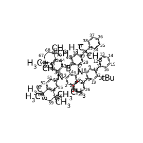 Cc1cc2c3c(c1)N(c1cc(-c4ccccc4)c(C(C)(C)C)cc1-c1ccccc1)c1cc(C(C)(C)c4ccccc4)ccc1B3c1cc3c(cc1N2c1ccc2c(c1)C(C)(C)CCC2(C)C)C(C)(C)CCC3(C)C